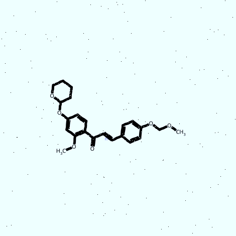 COCOc1ccc(/C=C/C(=O)c2ccc(OC3CCCCO3)cc2OC)cc1